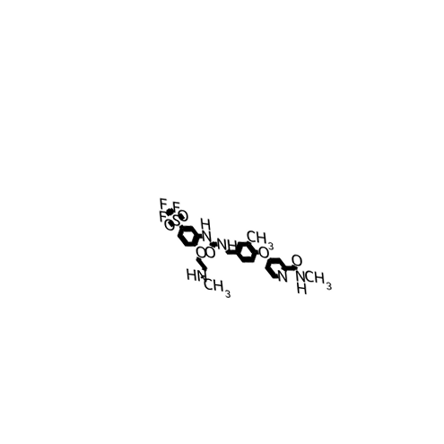 CNCCOc1ccc(S(=O)(=O)C(F)(F)F)cc1NC(=O)NCc1ccc(Oc2ccnc(C(=O)NC)c2)c(C)c1